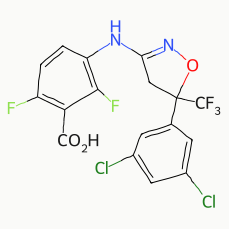 O=C(O)c1c(F)ccc(NC2=NOC(c3cc(Cl)cc(Cl)c3)(C(F)(F)F)C2)c1F